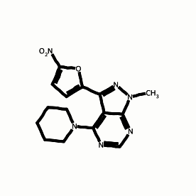 Cn1nc(-c2ccc([N+](=O)[O-])o2)c2c(N3CCCCC3)ncnc21